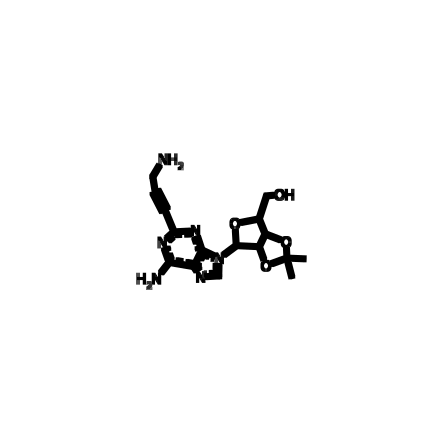 CC1(C)OC2C(CO)OC(n3cnc4c(N)nc(C#CCN)nc43)C2O1